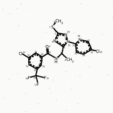 CSc1nc(C(C)NC(=O)c2cc(Cl)cc(C(F)(F)F)c2)n(-c2ccc(Cl)cn2)n1